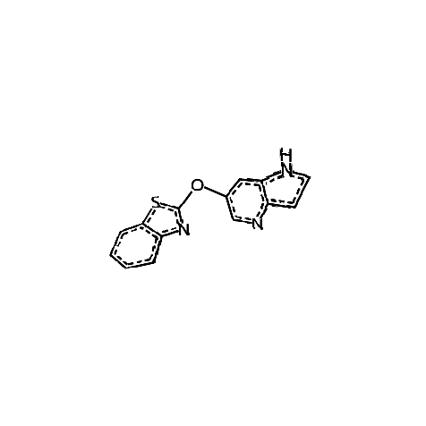 c1ccc2sc(Oc3cnc4cc[nH]c4c3)nc2c1